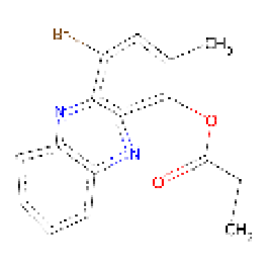 CCC(=O)Oc1c(C)cc(Br)c2nc3ccccc3nc12